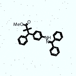 COC(=O)C(C)(C)C(c1ccccc1)c1ccc(NN=C(c2ccccc2)c2ccccc2)cc1